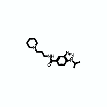 CC(C)n1nnc2cc(C(=O)NCCCN3CCCCC3)ccc21